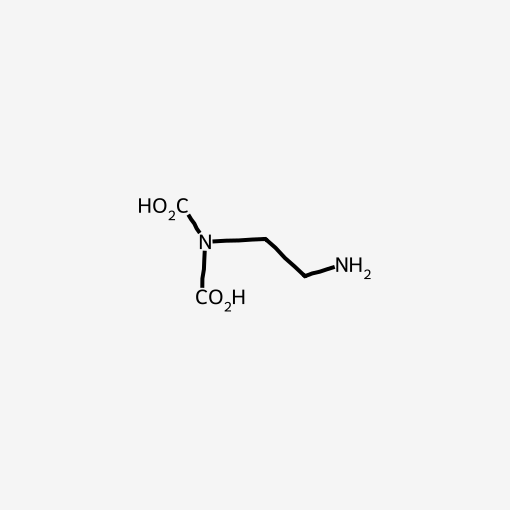 NCCN(C(=O)O)C(=O)O